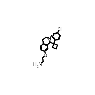 CN1CCc2ccc(OCCN)cc2C1C1(c2ccc(Cl)cc2)CCC1